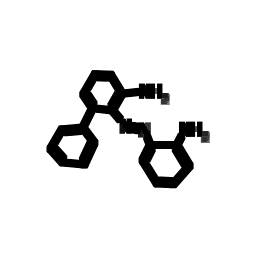 Nc1ccccc1N=Nc1c(N)cccc1-c1ccccc1